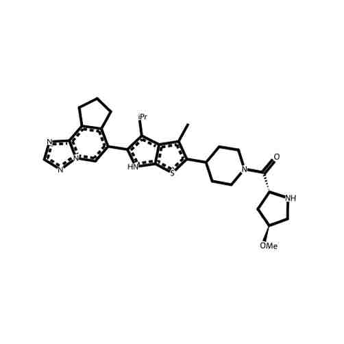 CO[C@@H]1CN[C@@H](C(=O)N2CCC(c3sc4[nH]c(-c5cn6ncnc6c6c5CCC6)c(C(C)C)c4c3C)CC2)C1